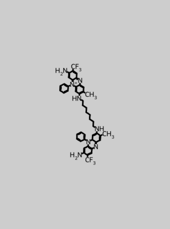 CC1=CC2=Nc3cc(C(F)(F)F)c(N)cc3N(c3ccccc3)C2C=C1NCCCCCCCCNc1cc2c(cc1C)nc1cc(C(F)(F)F)c(N)cc1[n+]2-c1ccccc1